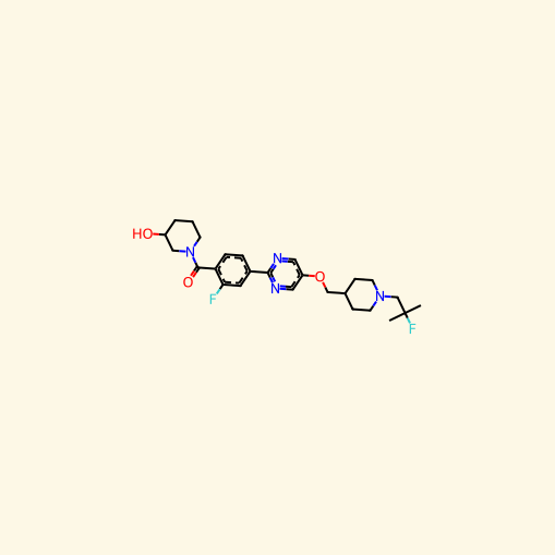 CC(C)(F)CN1CCC(COc2cnc(-c3ccc(C(=O)N4CCCC(O)C4)c(F)c3)nc2)CC1